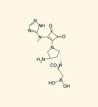 CN(c1ncn[nH]1)c1c(N2C[C@H](CCCB(O)O)[C@](N)(C(=O)O)C2)c(=O)c1=O